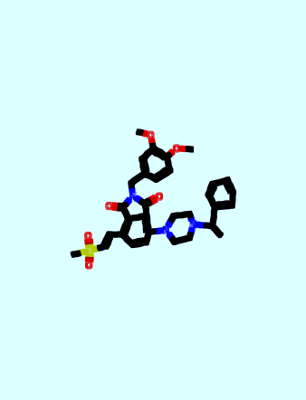 COc1ccc(CN2C(=O)c3c(C=CS(C)(=O)=O)ccc(N4CCN(C(C)c5ccccc5)CC4)c3C2=O)cc1OC